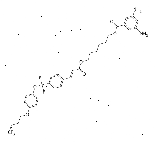 Nc1cc(N)cc(C(=O)OCCCCCCOC(=O)C=Cc2ccc(C(F)(F)Oc3ccc(OCCCC(F)(F)F)cc3)cc2)c1